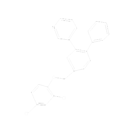 Clc1ccc(OCc2ccc(-c3ccccc3)c(-c3cccnc3)c2)c(Cl)c1